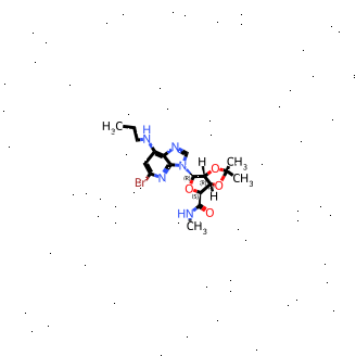 CCCNc1cc(Br)nc2c1ncn2[C@@H]1O[C@H](C(=O)NC)[C@H]2OC(C)(C)O[C@H]21